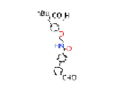 CCCCC(Cc1ccc(OCCNC(=O)c2ccc(-c3cccc(C=O)c3)cc2)cc1)C(=O)O